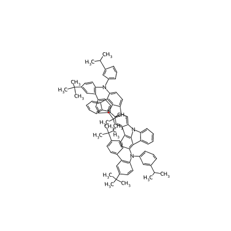 CC(C)c1cccc(N(c2ccc(C(C)(C)C)cc2-c2ccc(C(C)(C)C)cc2)c2ccc3c4cc5c(cc4n4c6ccccc6c2c34)c2ccc(N(c3cccc(C(C)C)c3)c3ccc(C(C)(C)C)cc3-c3ccc(C(C)(C)C)cc3)c3c4ccccc4n5c23)c1